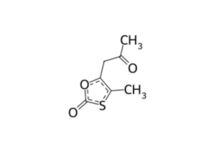 CC(=O)Cc1oc(=O)sc1C